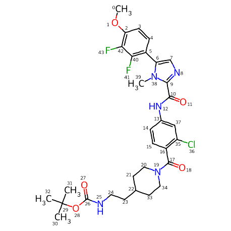 COc1ccc(-c2cnc(C(=O)Nc3ccc(C(=O)N4CCC(CCNC(=O)OC(C)(C)C)CC4)c(Cl)c3)n2C)c(F)c1F